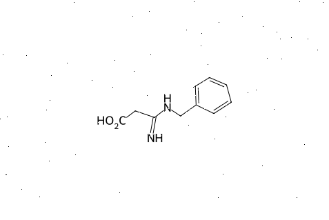 N=C(CC(=O)O)NCc1ccccc1